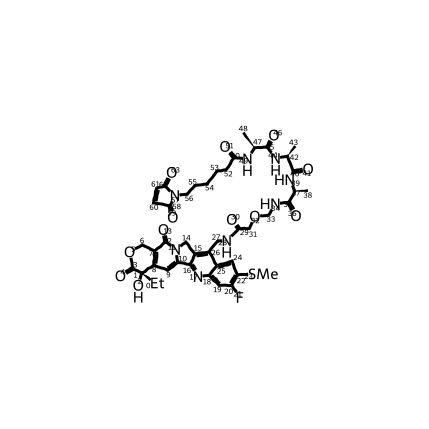 CC[C@@]1(O)C(=O)OCc2c1cc1n(c2=O)Cc2c-1nc1cc(F)c(SC)cc1c2CNC(=O)COCNC(=O)[C@H](C)NC(=O)[C@H](C)NC(=O)[C@H](C)NC(=O)CCCCCN1C(=O)C=CC1=O